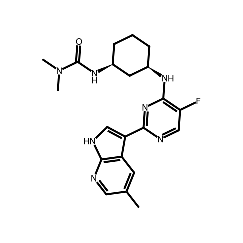 Cc1cnc2[nH]cc(-c3ncc(F)c(N[C@@H]4CCC[C@H](NC(=O)N(C)C)C4)n3)c2c1